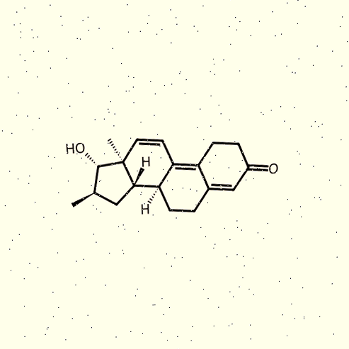 C[C@@H]1C[C@H]2[C@@H]3CCC4=CC(=O)CCC4=C3C=C[C@]2(C)[C@H]1O